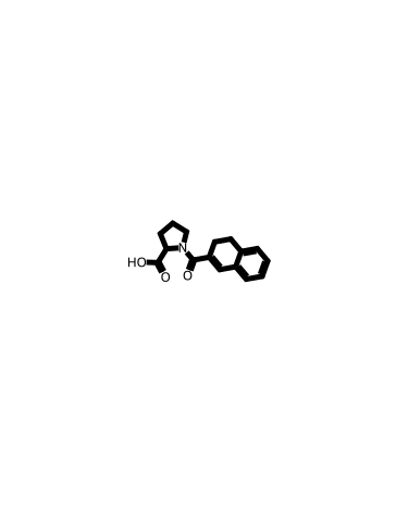 O=C(O)C1CCCN1C(=O)C1=Cc2ccccc2CC1